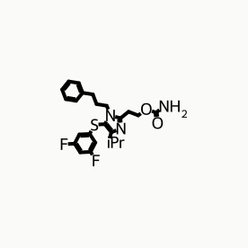 CC(C)c1nc(CCOC(N)=O)n(CCCc2ccccc2)c1Sc1cc(F)cc(F)c1